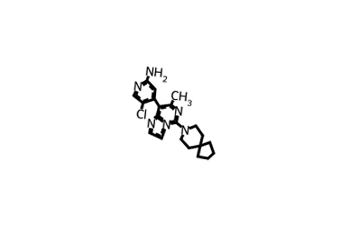 Cc1nc(N2CCC3(CCCC3)CC2)n2ccnc2c1-c1cc(N)ncc1Cl